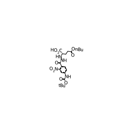 CCCCOC(=O)CC[C@H](NNC(=O)c1ccc(NC(=O)OC(C)(C)C)cc1[N+](=O)[O-])C(=O)O